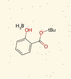 B.CC(C)(C)OC(=O)c1ccccc1O